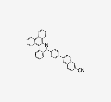 N#Cc1ccc2cc(-c3ccc(-c4nc5c6ccccc6c6ccccc6c5c5ccccc45)cc3)ccc2c1